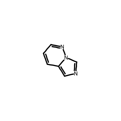 c1cnn2cncc2c1